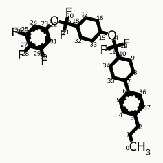 CCCc1ccc(C2CCC(C(F)(F)OC3CCC(C(F)(F)Oc4cc(F)c(F)c(F)c4)CC3)CC2)cc1